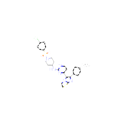 COc1ccc(-c2nc3sccn3c2-c2ccnc(NC3CCN(S(=O)(=O)c4ccc(Cl)cc4)CC3)n2)cc1